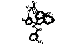 CC(C)(CO)Oc1cc(C(Cc2ccccc2)(NC(=O)c2cccc(C(F)(F)F)c2)c2cc(F)cc(C(F)(F)F)c2)ccc1F